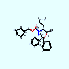 CC(C)(C)C(O[Si](c1ccccc1)(c1ccccc1)C(C)(C)C)[C@H](CCC(=O)O)NC(=O)OCc1ccccc1